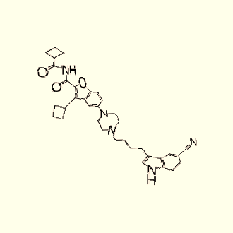 N#Cc1ccc2[nH]cc(CCCCN3CCN(c4ccc5oc(C(=O)NC(=O)C6CCC6)c(C6CCC6)c5c4)CC3)c2c1